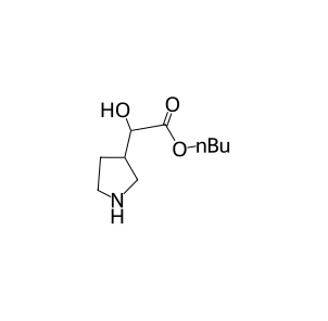 CCCCOC(=O)C(O)C1CCNC1